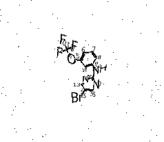 FC(F)(F)Oc1cccc(Nc2ncc(Br)cn2)c1